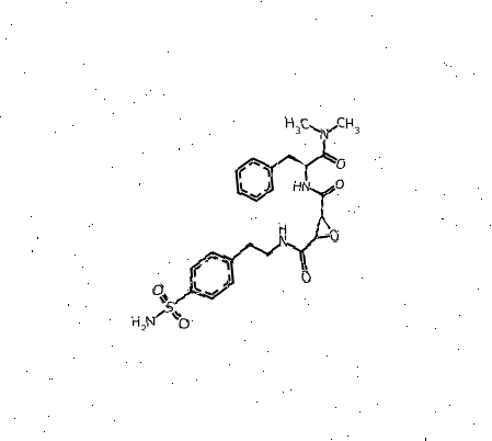 CN(C)C(=O)[C@H](Cc1ccccc1)NC(=O)C1OC1C(=O)NCCc1ccc(S(N)(=O)=O)cc1